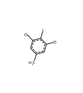 [CH2]c1cc(Cl)c(I)c(Cl)c1